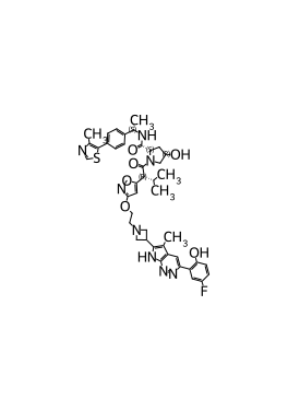 Cc1ncsc1-c1ccc([C@H](C)NC(=O)[C@@H]2C[C@@H](O)CN2C(=O)[C@@H](c2cc(OCCN3CC(c4[nH]c5nnc(-c6cc(F)ccc6O)cc5c4C)C3)no2)C(C)C)cc1